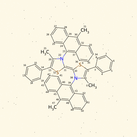 CC1=C(c2ccccc2)S/C(=C2/SC(c3ccccc3)=C(C)N2c2c3ccccc3c(C)c3ccccc23)N1c1c2ccccc2c(C)c2ccccc12